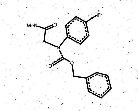 CNC(=O)CN(C(=O)OCc1ccccc1)c1ccc(C(C)C)cc1